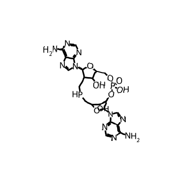 Nc1ncnc2c1ncn2C1OC2COP(=O)(O)OC3C(O)C(CPCC1C2O)OC3n1cnc2c(N)ncnc21